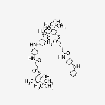 Cc1cc(SC(=O)CCC(=O)Nc2ccc(Nc3cccc(CC(C)(C)c4cc(SC(=O)CCCCC(=O)Nc5ccc(Nc6ccccc6)cc5)cc(C(C)(C)C)c4O)c3)cc2)c(O)c(C(C)(C)C)c1